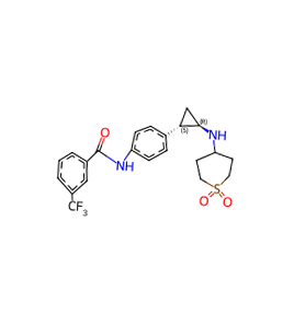 O=C(Nc1ccc([C@@H]2C[C@H]2NC2CCS(=O)(=O)CC2)cc1)c1cccc(C(F)(F)F)c1